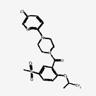 CC(Oc1ccc(S(C)(=O)=O)cc1C(=O)N1CCN(c2ccc(Cl)cn2)CC1)C(F)(F)F